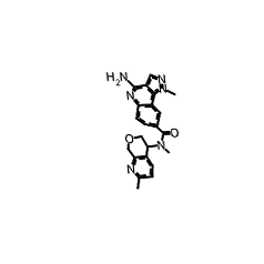 Cc1ccc2c(n1)COCC2N(C)C(=O)c1ccc2nc(N)c3cnn(C)c3c2c1